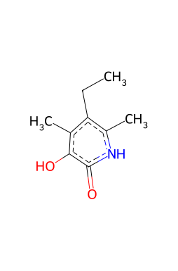 CCc1c(C)[nH]c(=O)c(O)c1C